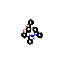 c1ccc2c(-c3cccc4oc5c(ccc6c7ccccc7oc65)c34)nc(-n3c4ccccc4c4ccccc43)nc2c1